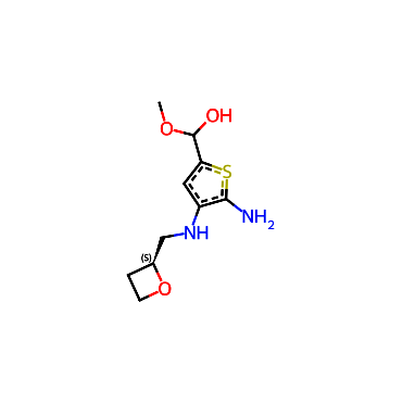 COC(O)c1cc(NC[C@@H]2CCO2)c(N)s1